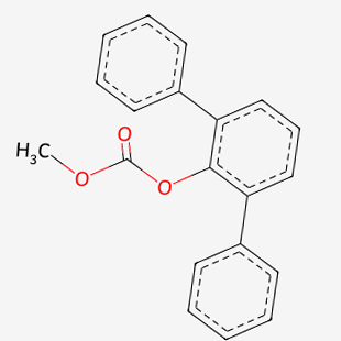 COC(=O)Oc1c(-c2ccccc2)cccc1-c1ccccc1